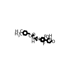 CC1(C)CCC(COC(=O)NC2CN(c3cc(F)c(C4CCC(=O)NC4=O)c(F)c3)C2)CC1